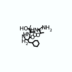 CC(=O)[C@H](CN)NC(=O)[C@@H](NC(=O)C(CN)CC1CCCCC1)[C@H](C)O